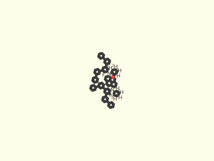 [2H]c1c([2H])c([2H])c(N(c2cc(-c3cccc(-c4ccccc4)c3)cc(-c3cccc(-c4ccccc4)c3)c2F)c2ccc3ccc4c(N(c5cc(-c6cccc(-c7ccccc7)c6)cc(-c6cccc(-c7ccccc7)c6)c5F)c5c([2H])c([2H])c([2H])c([2H])c5[2H])ccc5ccc2c3c54)c([2H])c1[2H]